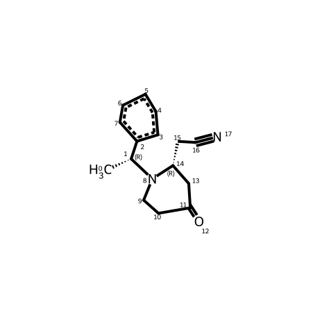 C[C@H](c1ccccc1)N1CCC(=O)C[C@H]1CC#N